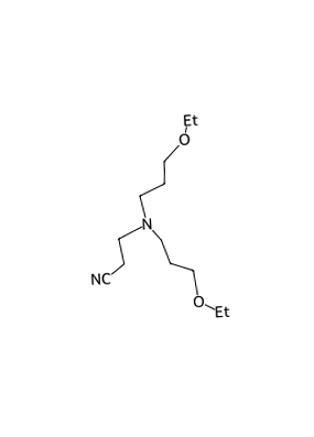 CCOCCCN(CCC#N)CCCOCC